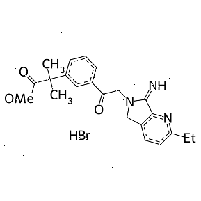 Br.CCc1ccc2c(n1)C(=N)N(CC(=O)c1cccc(C(C)(C)C(=O)OC)c1)C2